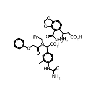 Cc1cc(C(C(=O)O)N(CC(C)C)C(=O)COc2ccccc2)ccc1NC(N)=O.NC(=O)c1c(C(N)CC(=O)O)ccc2c1OCO2